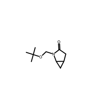 CC(C)(C)OCN1C(=O)CC2CC21